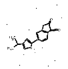 CC(C)c1csc(-c2ccc3c(c2)CC(=O)C3=O)c1